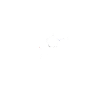 O=C(O)N1CC[C@@H](S(=O)(=O)Cl)C1